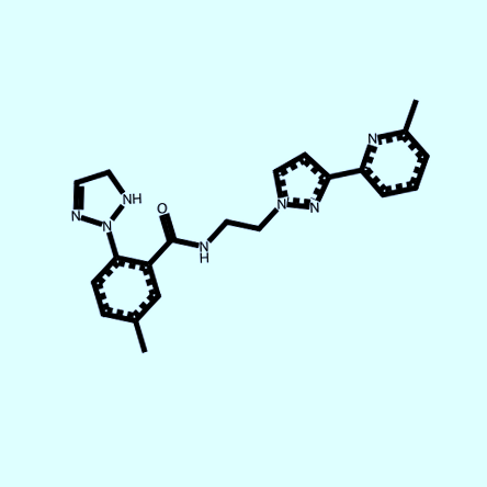 Cc1ccc(N2N=CCN2)c(C(=O)NCCn2ccc(-c3cccc(C)n3)n2)c1